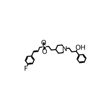 O=S(=O)(CC=Cc1ccc(F)cc1)CCC1CCN(CCC(O)c2ccccc2)CC1